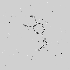 COc1ccc([C@@H]2C[C@H]2N)cc1OC